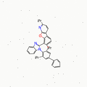 Cc1ccc2c(oc3nc(C(C)C)ccc32)c1-c1nc2ccccc2n1-c1c(C(C)C)cc(-c2ccccc2)cc1C(C)C